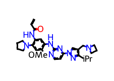 C=CC(=O)Nc1cc(Nc2nccc(-n3cc(CN4CCC4)c(C(C)C)n3)n2)c(OC)cc1N1CCCC1